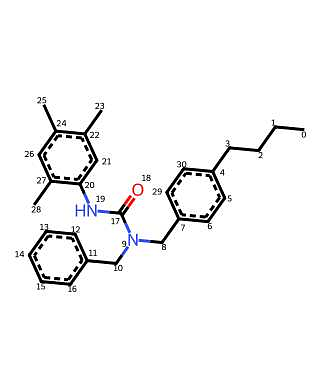 CCCCc1ccc(CN(Cc2ccccc2)C(=O)Nc2cc(C)c(C)cc2C)cc1